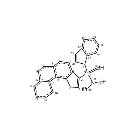 [BH]=[Zr]([C]1=CCc2c1ccc1ccc3ccccc3c21)([CH]1C=Cc2ccccc21)[N](C(C)C)C(C)C